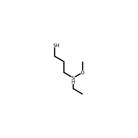 CC[SiH](CCCS)OC